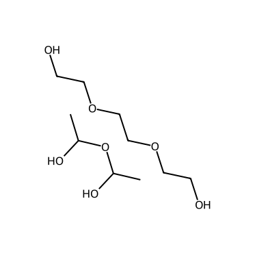 CC(O)OC(C)O.OCCOCCOCCO